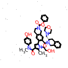 Cc1c(C(=O)N(C)c2ccc(O)cc2)cc(-c2cc3c(cc2C(=O)N2Cc4ccccc4C[C@H]2CN2CCOCC2)CN(C(=O)Oc2ccccc2)CC3)n1CCO